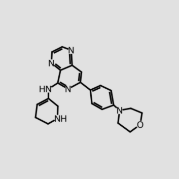 C1=C(Nc2nc(-c3ccc(N4CCOCC4)cc3)cc3nccnc23)CNCC1